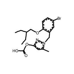 CCC(CC)COc1ccc(Br)cc1Cn1nc(OC(=O)O)cc1C